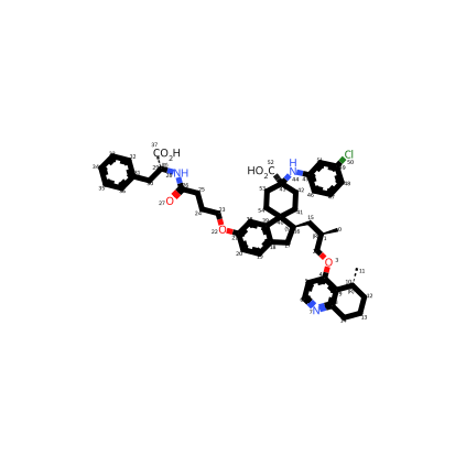 C[C@@H](COc1ccnc2c1[C@H](C)CCC2)C[C@H]1Cc2ccc(OCCCC(=O)N[C@H](Cc3ccccc3)C(=O)O)cc2C12CCC(Nc1cccc(Cl)c1)(C(=O)O)CC2